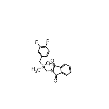 C[Si](C)(Cc1ccc(F)c(F)c1)CN1C(=O)c2ccccc2C1=O